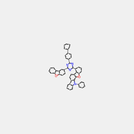 c1ccc(-c2ccc(-c3nc(-c4ccc5oc6ccccc6c5c4)nc(-c4cccc5oc6c(ccc7c8ccccc8n(-c8ccccc8)c76)c45)n3)cc2)cc1